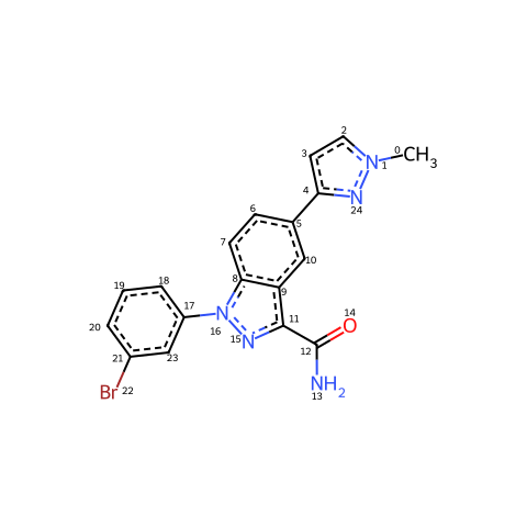 Cn1ccc(-c2ccc3c(c2)c(C(N)=O)nn3-c2cccc(Br)c2)n1